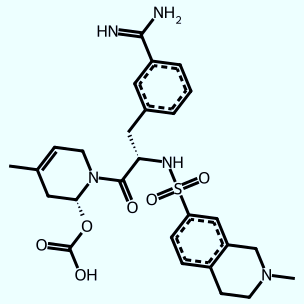 CC1=CCN(C(=O)[C@H](Cc2cccc(C(=N)N)c2)NS(=O)(=O)c2ccc3c(c2)CN(C)CC3)[C@H](OC(=O)O)C1